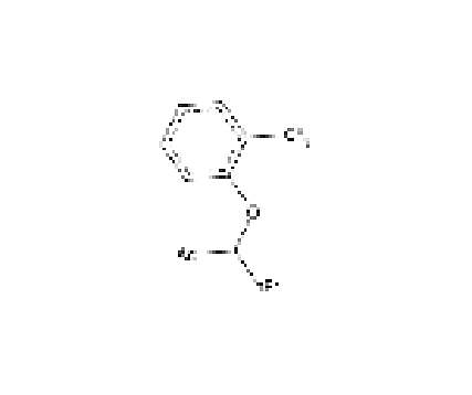 CCCC(Oc1ccccc1C(F)(F)F)C(C)=O